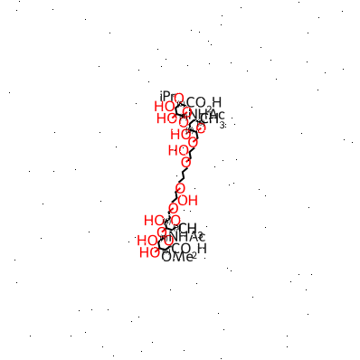 CO[C@@H]1C(C(=O)O)O[C@@H](OC2C(NC(C)=O)[C@H](C)OC(COCC(O)COCCCCOCC(O)COCC3O[C@@H](C)C(NC(C)=O)C(O[C@@H]4OC(C(=O)O)[C@@H](OC(C)C)C(O)C4O)[C@@H]3O)[C@H]2O)C(O)C1O